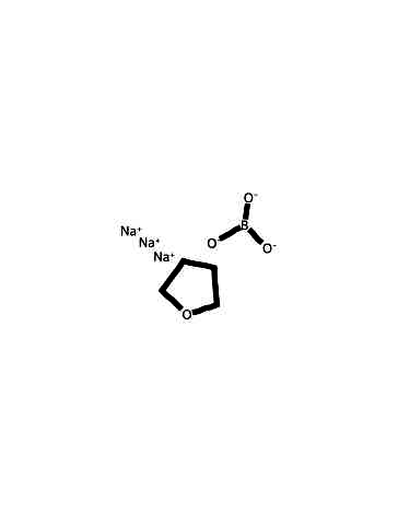 C1CCOC1.[Na+].[Na+].[Na+].[O-]B([O-])[O-]